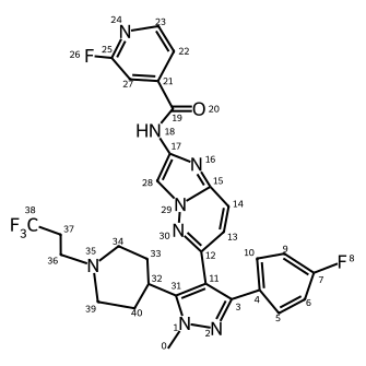 Cn1nc(-c2ccc(F)cc2)c(-c2ccc3nc(NC(=O)c4ccnc(F)c4)cn3n2)c1C1CCN(CCC(F)(F)F)CC1